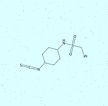 CC(C)CS(=O)(=O)NC1CCC(N=C=S)CC1